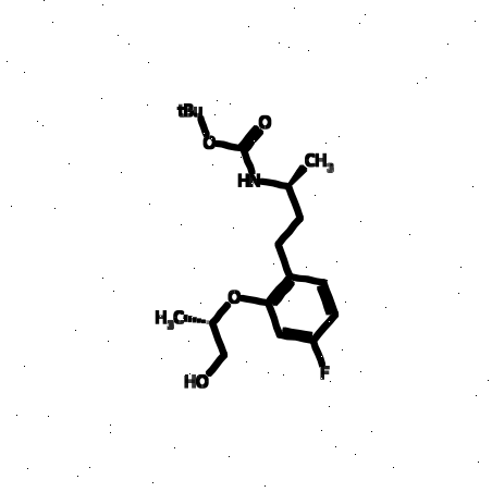 C[C@@H](CCc1ccc(F)cc1O[C@@H](C)CO)NC(=O)OC(C)(C)C